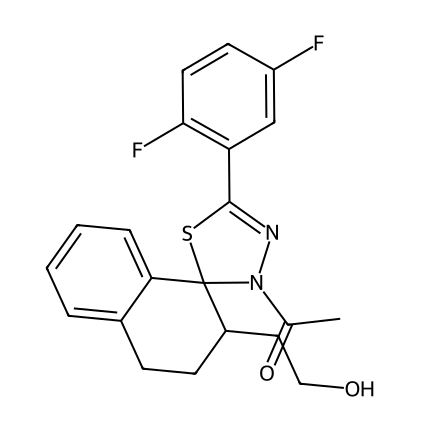 CC(=O)N1N=C(c2cc(F)ccc2F)SC12c1ccccc1CCC2CCO